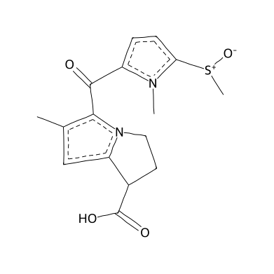 Cc1cc2n(c1C(=O)c1ccc([S+](C)[O-])n1C)CCC2C(=O)O